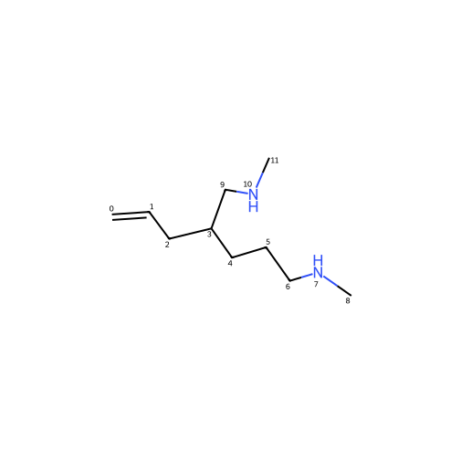 C=CCC(CCCNC)CNC